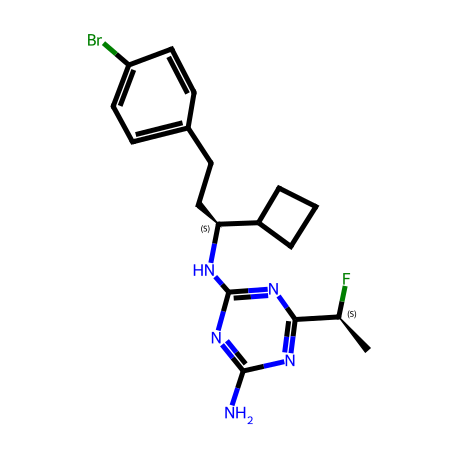 C[C@H](F)c1nc(N)nc(N[C@@H](CCc2ccc(Br)cc2)C2CCC2)n1